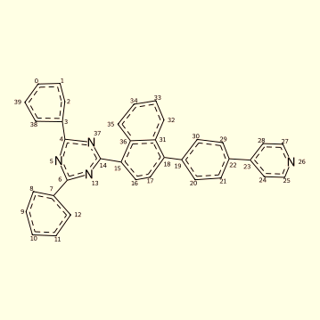 c1ccc(-c2nc(-c3ccccc3)nc(-c3ccc(-c4ccc(-c5ccncc5)cc4)c4ccccc34)n2)cc1